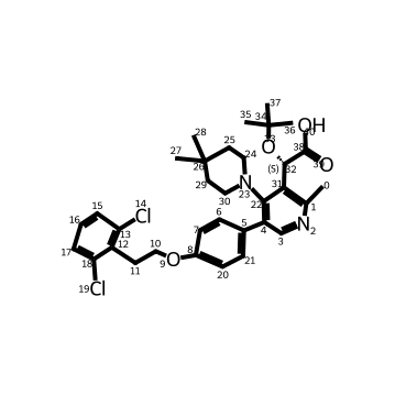 Cc1ncc(-c2ccc(OCCc3c(Cl)cccc3Cl)cc2)c(N2CCC(C)(C)CC2)c1[C@H](OC(C)(C)C)C(=O)O